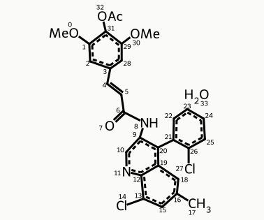 COc1cc(C=CC(=O)Nc2cnc3c(Cl)cc(C)cc3c2-c2ccccc2Cl)cc(OC)c1OC(C)=O.O